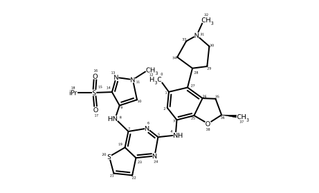 Cc1cc(Nc2nc(Nc3cn(C)nc3S(=O)(=O)C(C)C)c3sccc3n2)c2c(c1C1CCN(C)CC1)C[C@@H](C)O2